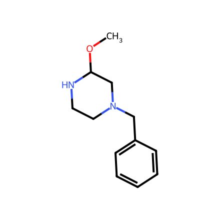 COC1CN(Cc2ccccc2)CCN1